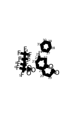 O=S(=O)([O-])C(F)(F)C(F)(F)C(F)(F)C(F)(F)F.O=c1ccc2ccc([I+]c3ccccc3)cc2o1